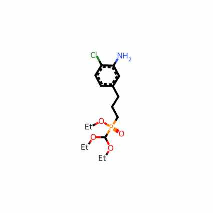 CCOC(OCC)P(=O)(CCCc1ccc(Cl)c(N)c1)OCC